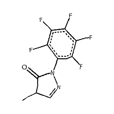 CC1C=NN(c2c(F)c(F)c(F)c(F)c2F)C1=O